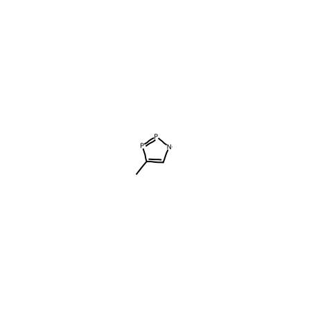 CC1=C[N]P=P1